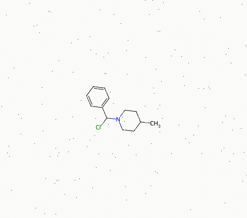 CC1CCN(C(Cl)c2ccccc2)CC1